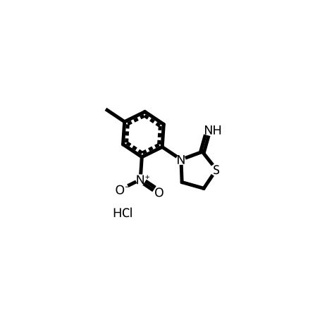 Cc1ccc(N2CCSC2=N)c([N+](=O)[O-])c1.Cl